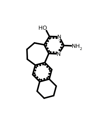 Nc1nc(O)c2c(n1)-c1cc3c(cc1CCC2)CCCC3